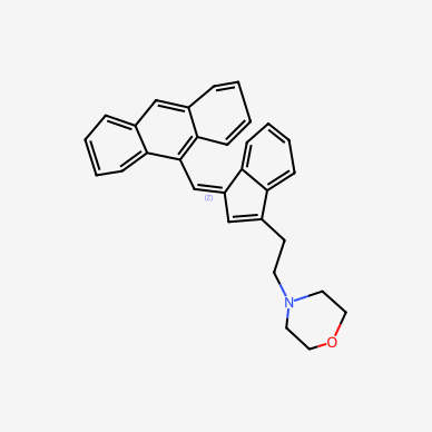 C1=C(CCN2CCOCC2)c2ccccc2/C1=C\c1c2ccccc2cc2ccccc12